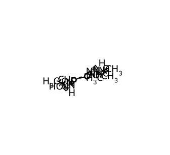 COC(=O)N[C@H](C(=O)N1CCC[C@H]1c1nc2cc(C#Cc3ccc4nc([C@@H]5CCCN5C(=O)[C@@H](O)C(C)C)[nH]c4c3)ccc2[nH]1)C(C)C